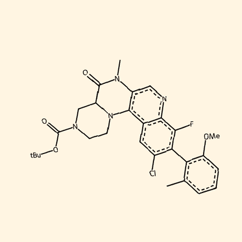 COc1cccc(C)c1-c1c(Cl)cc2c3c(cnc2c1F)N(C)C(=O)C1CN(C(=O)OC(C)(C)C)CCN31